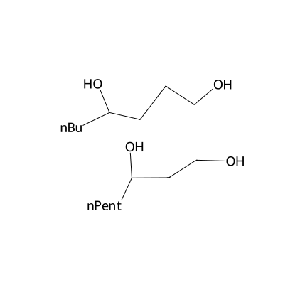 CCCCC(O)CCCO.CCCCCC(O)CCO